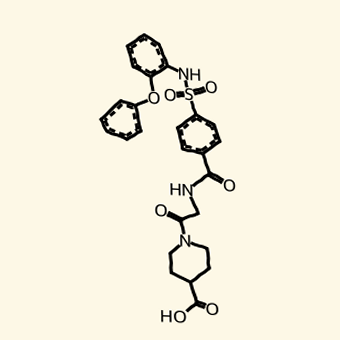 O=C(NCC(=O)N1CCC(C(=O)O)CC1)c1ccc(S(=O)(=O)Nc2ccccc2Oc2ccccc2)cc1